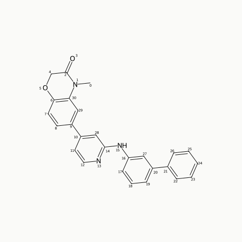 CN1C(=O)COc2ccc(-c3ccnc(Nc4cccc(-c5ccccc5)c4)c3)cc21